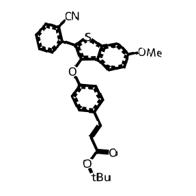 COc1ccc2c(Oc3ccc(/C=C/C(=O)OC(C)(C)C)cc3)c(-c3ccccc3C#N)sc2c1